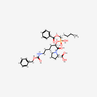 CCCC[C@@H](OC(=O)c1ccccc1)P(=O)(O)OC(CCCCNC(=O)OCc1ccccc1)C(=O)N1CCC[C@H]1C(=O)O